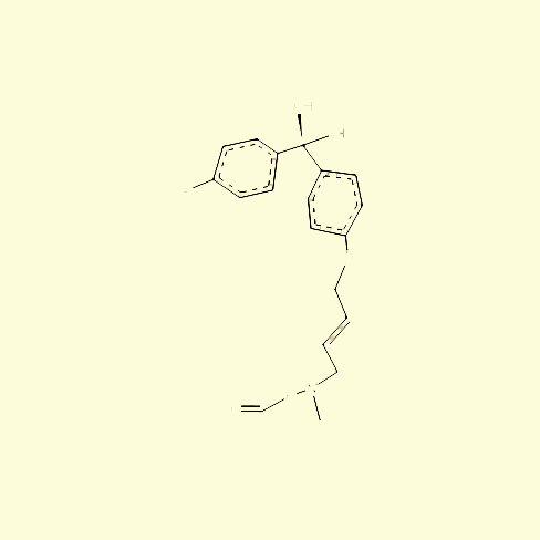 C=CCN(C)C/C=C/COc1ccc([C@@](C)(O)c2ccc(Br)cc2)cc1